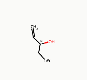 C=C[C@@H](O)CCCC